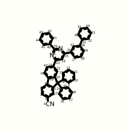 N#Cc1ccc2c(c1)C(c1ccccc1)(c1ccccc1)c1cc(-c3cc(-c4cccc(-c5ccccc5)c4)nc(-c4ccccc4)n3)ccc1-2